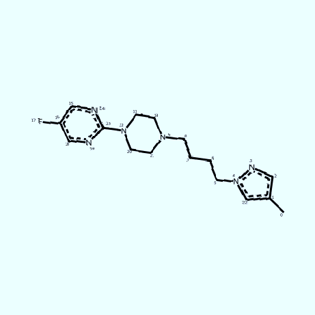 Cc1cnn(CCCCN2CCN(c3ncc(F)cn3)CC2)c1